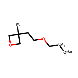 CCC1(CCOC[SiH2]OC)COC1